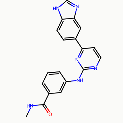 CNC(=O)c1cccc(Nc2nccc(-c3ccc4[nH]cnc4c3)n2)c1